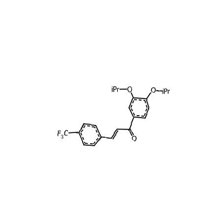 CC(C)Oc1ccc(C(=O)C=Cc2ccc(C(F)(F)F)cc2)cc1OC(C)C